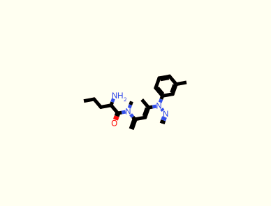 C=NN(/C(C)=C/C(=C)N(C)C(=O)C(N)CCC)c1cccc(C)c1